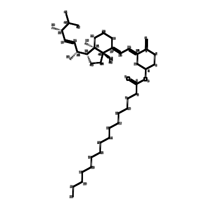 C=C1CCC(OC(=O)CCCCCCCCCCCCCCC)CC1=CC=C1CCC[C@]2(C)[C@@H]([C@H](C)C=C[C@H](C)C(C)C)CC[C@@H]12